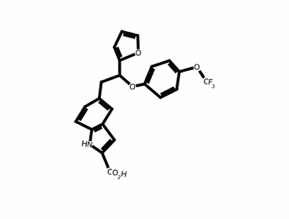 O=C(O)c1cc2cc(CC(Oc3ccc(OC(F)(F)F)cc3)c3ccco3)ccc2[nH]1